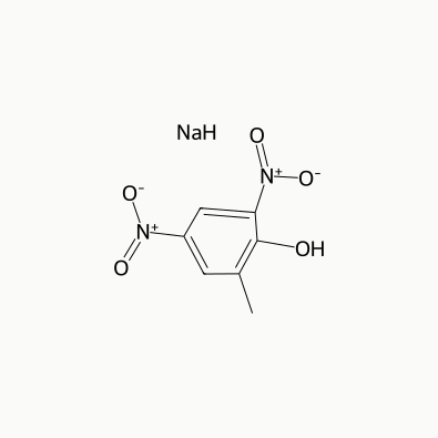 Cc1cc([N+](=O)[O-])cc([N+](=O)[O-])c1O.[NaH]